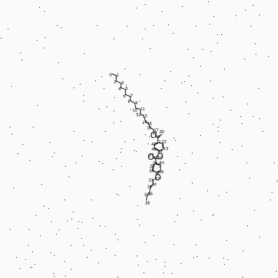 CCCCCCCCCCCCCCCCCCOC(C)c1ccc(OC(=O)c2ccc(OCCCCCC)cc2)cc1